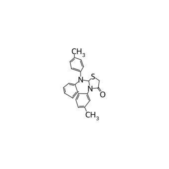 Cc1ccc(N(c2ccccc2)C2SCC(=O)N2c2[c]ccc(C)c2)cc1